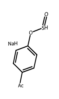 CC(=O)c1ccc(O[SH]=O)cc1.[NaH]